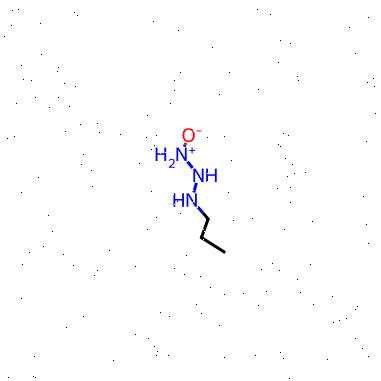 CCCNN[NH2+][O-]